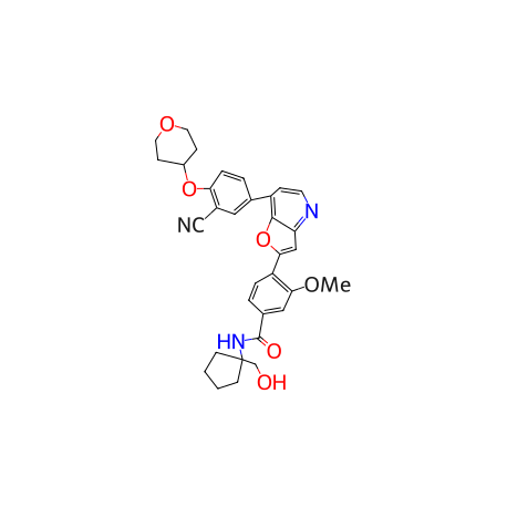 COc1cc(C(=O)NC2(CO)CCCC2)ccc1-c1cc2nccc(-c3ccc(OC4CCOCC4)c(C#N)c3)c2o1